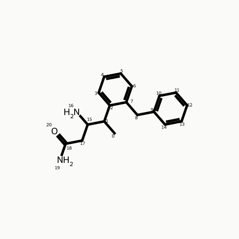 CC(c1ccccc1Cc1ccccc1)C(N)CC(N)=O